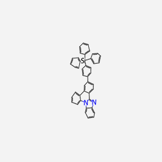 c1ccc([Si](c2ccccc2)(c2ccccc2)c2ccc(-c3ccc4c(c3)c3ccccc3n3c5ccccc5nc43)cc2)cc1